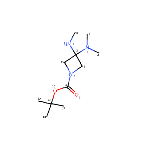 CNC1(N(C)C)CN(C(=O)OC(C)(C)C)C1